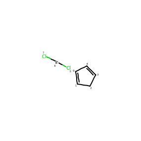 C1=CCC=C1.[Cl][Ir][Cl]